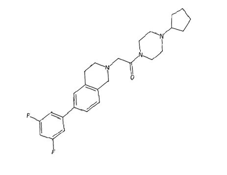 O=C(CN1CCc2cc(-c3cc(F)cc(F)c3)ccc2C1)N1CCN(C2CCCC2)CC1